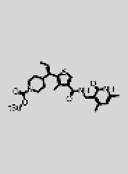 CC=C(c1scc(C(=O)NCc2c(C)cc(C)[nH]c2=O)c1C)C1CCN(C(=O)OC(C)(C)C)CC1